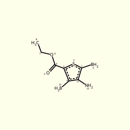 Bc1sc(C(=O)OCC)c(B)c1N